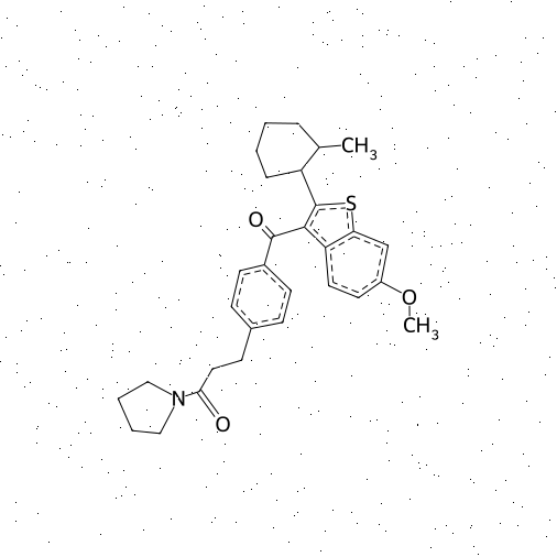 COc1ccc2c(C(=O)c3ccc(CCC(=O)N4CCCC4)cc3)c(C3CCCCC3C)sc2c1